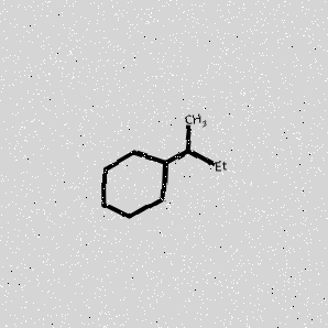 CCC(C)C1[CH]CCCC1